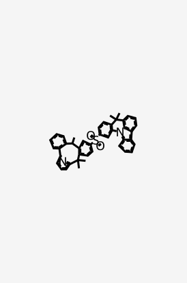 CC1c2ccccc2-c2cccc(n2)C(C)(C)c2ccc(S(=O)(=O)c3ccc4c(c3)-n3c5ccccc5c5cccc(c53)C4(C)C)cc21